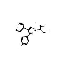 CCC(C(=O)O)n1cc(-c2ccncc2)c(-c2ccc(F)cc2)n1